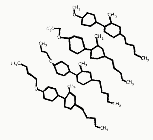 CCCCCC1CCC(C2CCC(OC)CC2)C(C)C1.CCCCCC1CCC(C2CCC(OCC)CC2)C(C)C1.CCCCCC1CCC(C2CCC(OCCC)CC2)C(C)C1.CCCCCC1CCC(C2CCC(OCCCC)CC2)C(C)C1